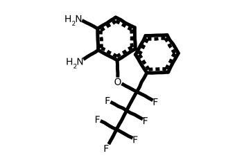 Nc1cccc(OC(F)(c2ccccc2)C(F)(F)C(F)(F)F)c1N